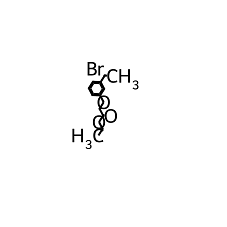 CCOC(=O)COc1cccc(C(C)Br)c1